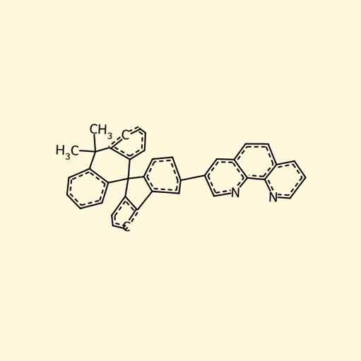 CC1(C)c2ccccc2C2(c3ccccc3-c3cc(-c4cnc5c(ccc6cccnc65)c4)ccc32)c2ccccc21